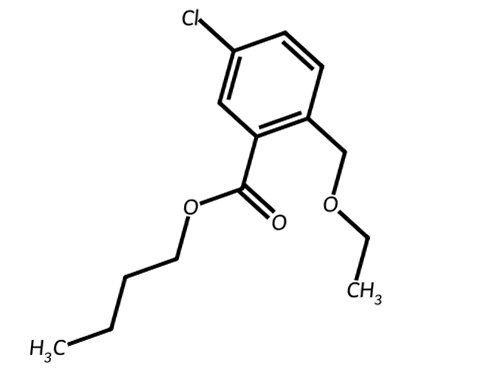 CCCCOC(=O)c1cc(Cl)ccc1COCC